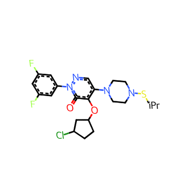 CC(C)SN1CCN(c2cnn(-c3cc(F)cc(F)c3)c(=O)c2OC2CCC(Cl)C2)CC1